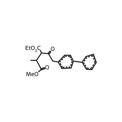 CCOC(=O)C(C(=O)Cc1ccc(-c2ccccc2)cc1)C(C)C(=O)OC